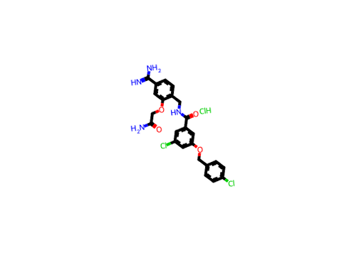 Cl.N=C(N)c1ccc(CNC(=O)c2cc(Cl)cc(OCc3ccc(Cl)cc3)c2)c(OCC(N)=O)c1